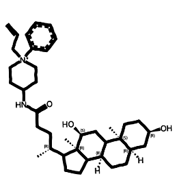 C=CC[N+]1(c2ccccc2)CCC(NC(=O)CC[C@@H](C)C2CCC3[C@@H]4CC[C@@H]5C[C@H](O)CC[C@]5(C)C4C[C@H](O)[C@@]32C)CC1